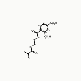 C=C(C)C(=O)OCCOC(=O)c1ccc(C(=O)O)cc1C(=O)O